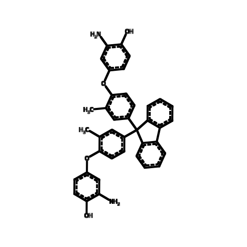 Cc1cc(C2(c3ccc(Oc4ccc(O)c(N)c4)c(C)c3)c3ccccc3-c3ccccc32)ccc1Oc1ccc(O)c(N)c1